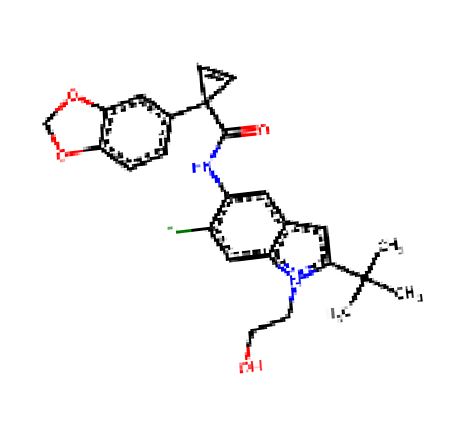 CC(C)(C)c1cc2cc(NC(=O)C3(c4ccc5c(c4)OCO5)C=C3)c(F)cc2n1CCO